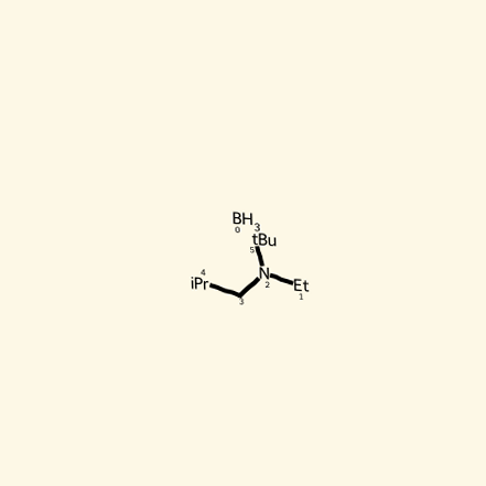 B.CCN(CC(C)C)C(C)(C)C